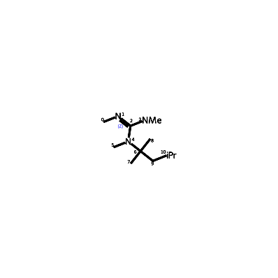 C/N=C(/NC)N(C)C(C)(C)CC(C)C